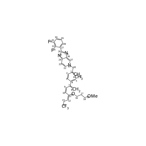 C=C(/C=C\C(=C/C)C(=C)/C=C\C(=C/CC(F)(F)F)OCCCOC)Cn1ccc2nc(-c3cccc(F)c3F)nc-2c1